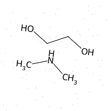 CNC.OCCO